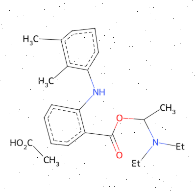 CC(=O)O.CCN(CC)C(C)OC(=O)c1ccccc1Nc1cccc(C)c1C